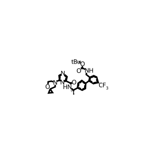 C[C@@H](NC(=O)c1cncc(N2CCOC3(CC3)C2)n1)c1ccc(-c2cc(C(F)(F)F)ccc2CNC(=O)OC(C)(C)C)cc1